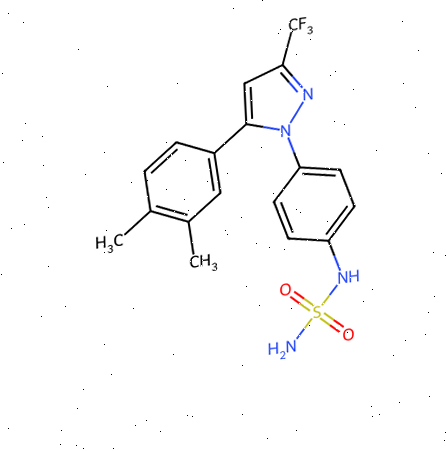 Cc1ccc(-c2cc(C(F)(F)F)nn2-c2ccc(NS(N)(=O)=O)cc2)cc1C